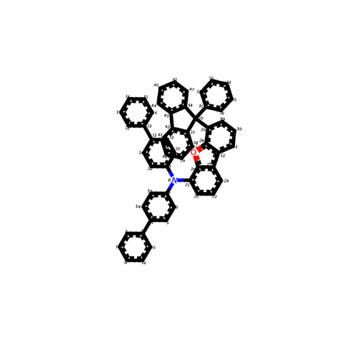 c1ccc(-c2ccc(N(c3ccc(-c4ccccc4)cc3)c3cccc4c3oc3c(C5(c6ccccc6)c6ccccc6-c6ccccc65)cccc34)cc2)cc1